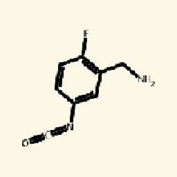 NCc1cc(N=C=O)ccc1F